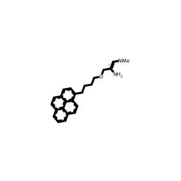 CN/C=C(\N)COCCCCc1ccc2ccc3cccc4ccc1c2c34